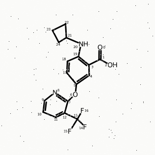 O=C(O)c1cc(Oc2ncccc2C(F)(F)F)ccc1NC1CCC1